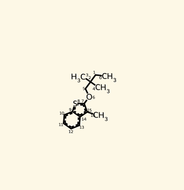 CCC(C)(C)COc1sc2ccccc2c1C